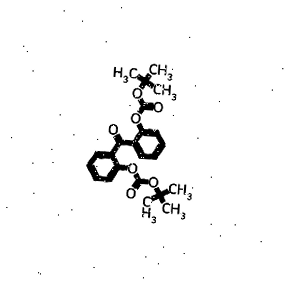 CC(C)(C)OC(=O)Oc1ccccc1C(=O)c1ccccc1OC(=O)OC(C)(C)C